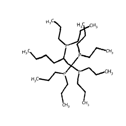 CCCCC(P(CCC)CCC)C(P(CCC)CCC)(P(CCC)CCC)P(CCC)CCC